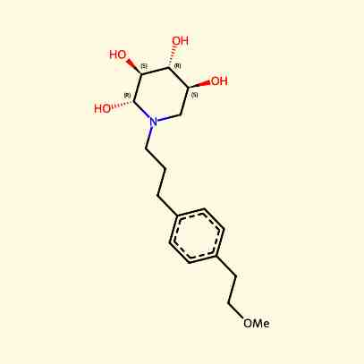 COCCc1ccc(CCCN2C[C@H](O)[C@@H](O)[C@H](O)[C@H]2O)cc1